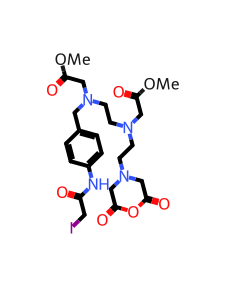 COC(=O)CN(CCN1CC(=O)OC(=O)C1)CCN(CC(=O)OC)Cc1ccc(NC(=O)CI)cc1